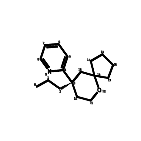 CCC[C@@]1(c2ccccn2)CCOC2(CCCC2)C1